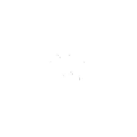 CC(C)N1C(=O)CN2CCC1CC2